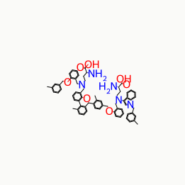 Cc1cccc(COc2ccccc2CN(CC[C@H](N)C(=O)O)Cc2cccc3c2OC(c2ccc(COc4ccccc4CN(CC[C@H](N)C(=O)O)c4cn(Cc5cccc(C)c5)c5ccccc45)cc2C)c2cccc(C)c2-3)c1